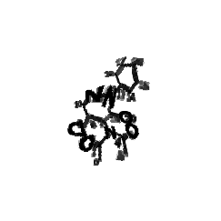 CC(=O)N(C(C)=O)c1c(Cl)cnn(-c2ccccc2)c1=O